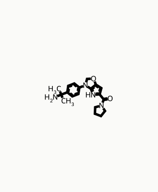 CC(C)(N)c1ccc(N2COc3cc(C(=O)N4CCCC4)[nH]c32)cc1